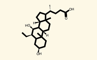 CC[C@@H]1C2C[C@H](O)CCC2(C)[C@H]2CCC3(C)C([C@H](C)CCC(=O)O)CC[C@H]3C2[C@@H]1O